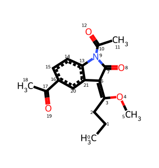 CCC/C(OC)=C1/C(=O)N(C(C)=O)c2ccc(C(C)=O)cc21